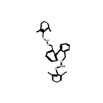 CC1=CCCC(C)=C1OPOCc1ccccc1-c1ccccc1COPOC1=C(C)CCC=C1C